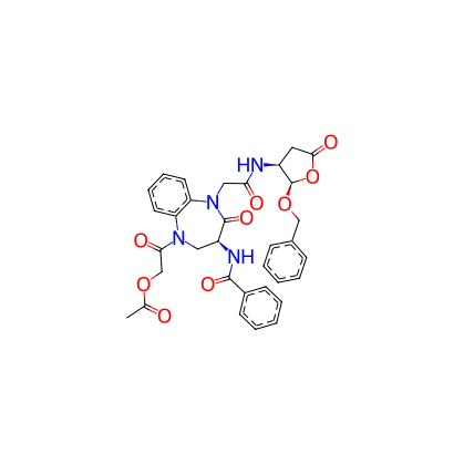 CC(=O)OCC(=O)N1C[C@H](NC(=O)c2ccccc2)C(=O)N(CC(=O)N[C@H]2CC(=O)O[C@H]2OCc2ccccc2)c2ccccc21